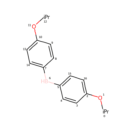 CC(C)Oc1ccc(Bc2ccc(OC(C)C)cc2)cc1